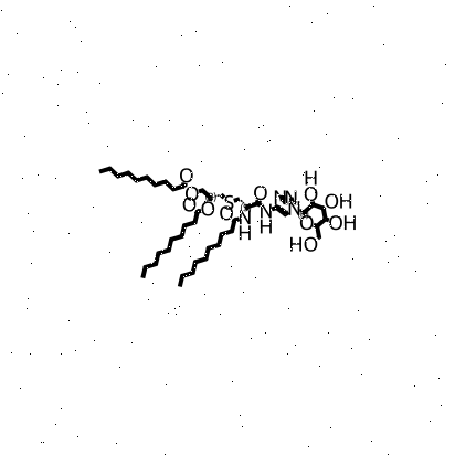 CCCCCCCCCC(=O)N[C@H](CSC[C@@H](COC(=O)CCCCCCCCC)OC(=O)CCCCCCCCC)C(=O)Nc1cn([C@@H]2OC(CO)C(O)C(O)C2O)nn1